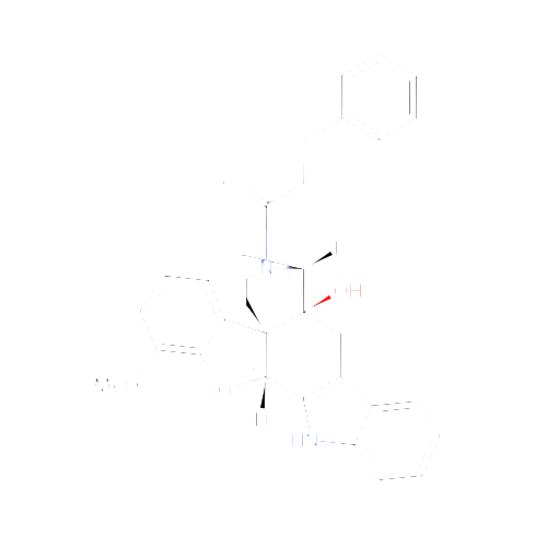 COc1ccc2c3c1O[C@H]1c4[nH]c5ccccc5c4C[C@@]4(O)[C@@H](C2)N(C(=O)CCc2ccccc2)CC[C@]314